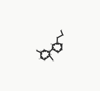 CCCc1cc[c]c(-c2cc(C)ccc2C)c1